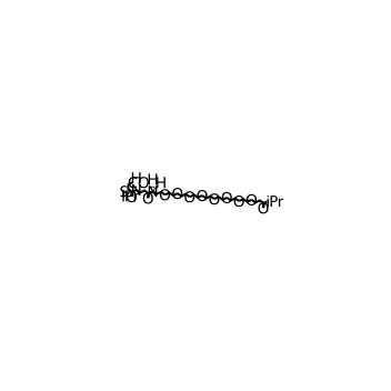 CC(C)SC(CC(=O)O)C(=O)NCCC(=O)NCCOCCOCCOCCOCCOCCOCCOCCOCCC(=O)C(C)C